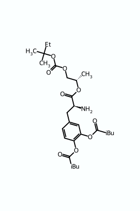 CCC(C)C(=O)Oc1ccc(C[C@H](N)C(=O)O[C@@H](C)COC(=O)OC(C)(C)CC)cc1OC(=O)C(C)CC